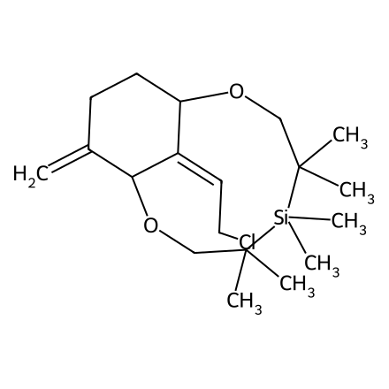 C=C1CCC2OCC(C)(C)[Si](C)(C)C(C)(C)COC1C2=CCCl